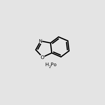 [PoH2].c1ccc2ocnc2c1